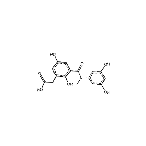 CN(C(=O)c1cc(O)cc(CC(=O)O)c1O)c1cc(O)cc(O)c1